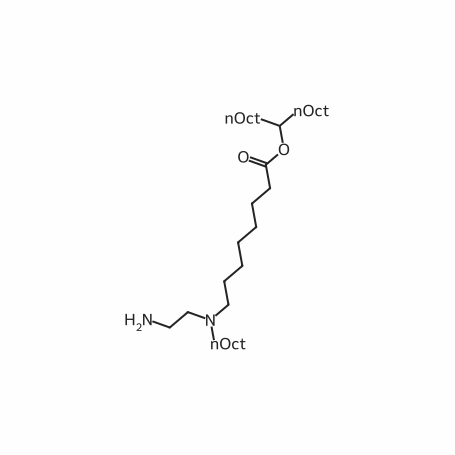 CCCCCCCCC(CCCCCCCC)OC(=O)CCCCCCCN(CCN)CCCCCCCC